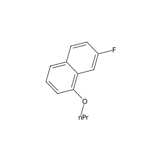 CCCOc1cccc2ccc(F)cc12